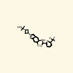 CC(C)(O)[C@H]1C[C@@H](n2cc3cc(NC(=O)c4cccc(C(F)(F)F)n4)c(Cl)cc3n2)C1